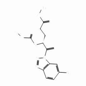 CC(C)(C)OC(=O)CC[C@H](NC(=O)OC(C)(C)C)C(=S)n1nnc2ccc([N+](=O)[O-])cc21